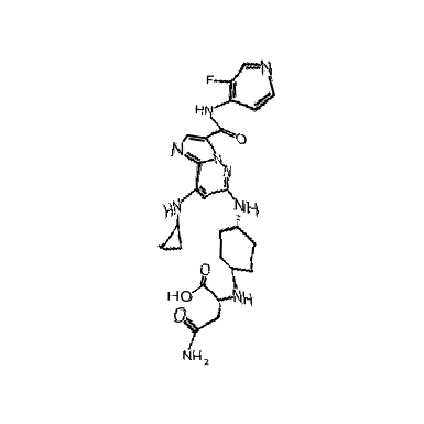 NC(=O)C[C@H](N[C@H]1CC[C@H](Nc2cc(NC3CC3)c3ncc(C(=O)Nc4ccncc4F)n3n2)CC1)C(=O)O